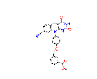 COC(=O)c1cccc(COc2ccc(-n3c4nc(=O)[nH]c(=O)c-4cc4ccc(C#N)cc43)cc2)c1